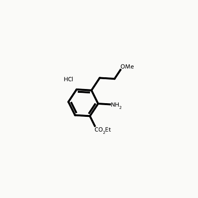 CCOC(=O)c1cccc(CCOC)c1N.Cl